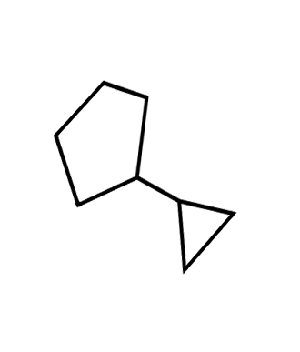 C1CCC(C2CC2)C1